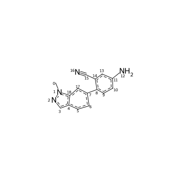 Cn1ncc2ccc(-c3ccc(N)cc3C#N)cc21